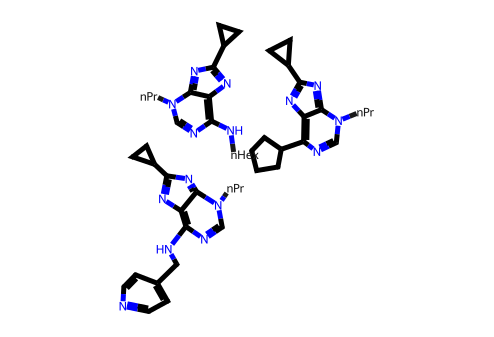 CCCCCCNc1ncn(CCC)c2nc(C3CC3)nc1-2.CCCn1cnc(C2CCCC2)c2nc(C3CC3)nc1-2.CCCn1cnc(NCc2ccncc2)c2nc(C3CC3)nc1-2